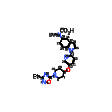 CCc1noc(N2CCC(Oc3ccc(-n4ccc5cc(N(C(=O)O)C(C)C)ccc54)nc3)CC2)n1